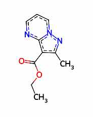 CCOC(=O)c1c(C)nn2cccnc12